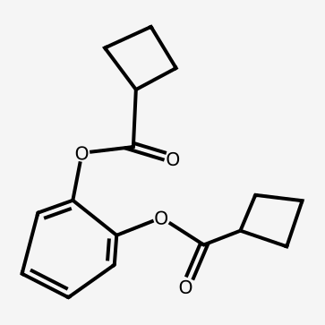 O=C(Oc1ccccc1OC(=O)C1CCC1)C1CCC1